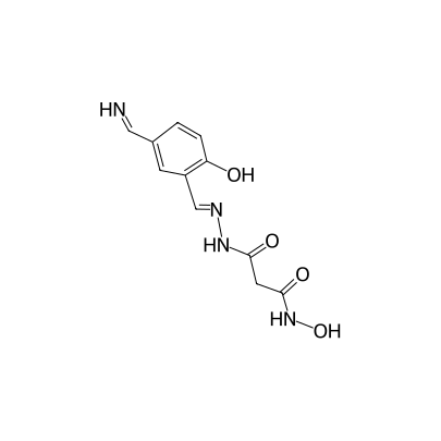 N=Cc1ccc(O)c(/C=N/NC(=O)CC(=O)NO)c1